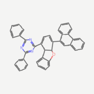 C1=C(c2cc3ccccc3c3ccccc23)C2Oc3ccccc3C2C(c2nc(-c3ccccc3)nc(-c3ccccc3)n2)=C1